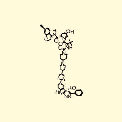 C#Cc1ccc2c(c1)OCC[C@H]2NC(=O)[C@@H]1C[C@@H](O)CN1C(=O)[C@@H](NC(=O)N1CCC(N2CCC(c3cnc(N4CCc5[nH]c6nnc(-c7ccccc7O)cc6c5[C@H]4C)nc3)CC2)CC1)C(C)(C)C